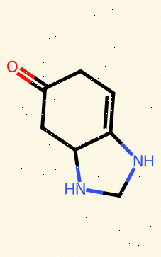 O=C1CC=C2NCNC2C1